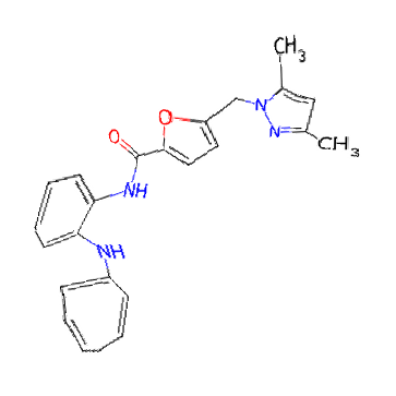 Cc1cc(C)n(Cc2ccc(C(=O)Nc3ccccc3Nc3ccccc3)o2)n1